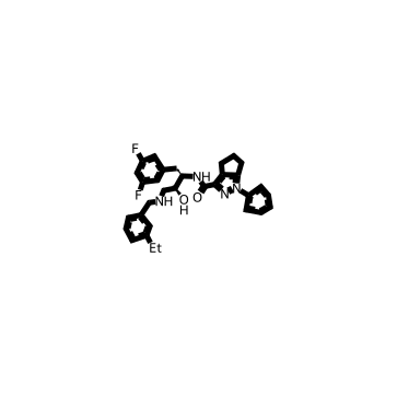 CCc1cccc(CNC[C@H](O)[C@H](Cc2cc(F)cc(F)c2)NC(=O)c2nn(-c3ccccc3)c3c2CCC3)c1